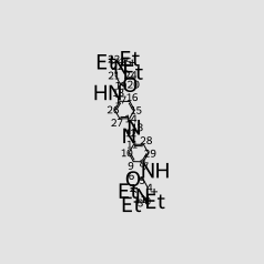 CC[N+](CC)(CC)CC(=O)Nc1ccc(N=Nc2ccc(NC(=O)C[N+](CC)(CC)CC)cc2)cc1